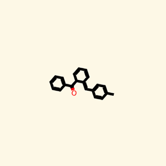 Cc1ccc(C=C2C=CC=CC2C(=O)c2ccccc2)cc1